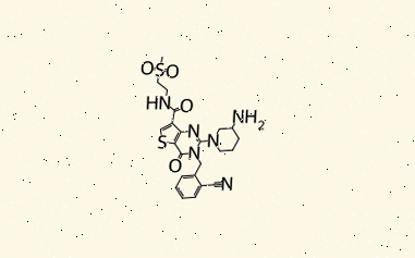 CS(=O)(=O)CCNC(=O)c1csc2c(=O)n(Cc3ccccc3C#N)c(N3CCCC(N)C3)nc12